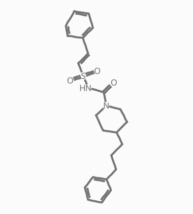 O=C(NS(=O)(=O)/C=C/c1ccccc1)N1CCC(CCCc2ccccc2)CC1